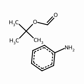 CC(C)(C)OC=O.Nc1ccccc1